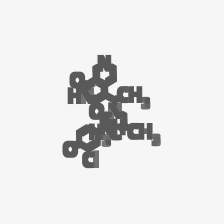 CC(C)CN(C(=O)NC1C=CC(=O)C(Cl)=C1)C(C)c1c[nH]c(=O)c2cnccc12